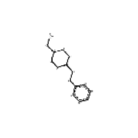 CC(C)CC1CCC(CCc2ccccc2)CC1